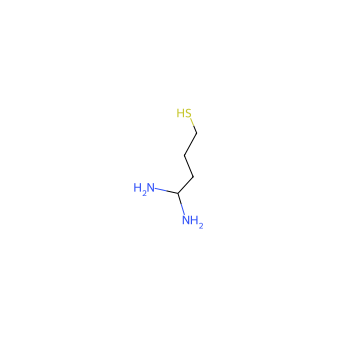 NC(N)CCCS